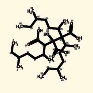 CCC(C)CCC(C)C(C(=O)O)C(O)(C(=O)O)C(C(=O)O)(C(C)CCC(C)CC)C(C)CCC(C)CC